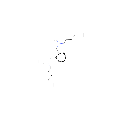 CCCCCN(C)Cc1ccccc1CN(C)CCCCC